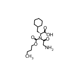 CCCCOC(=O)N(C(=O)CN)[C@@H](CC1CCCCC1)C(=O)O